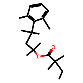 CCC(C)(C)C(=O)OC(C)(C)CC(C)(C)c1c(C)cccc1C